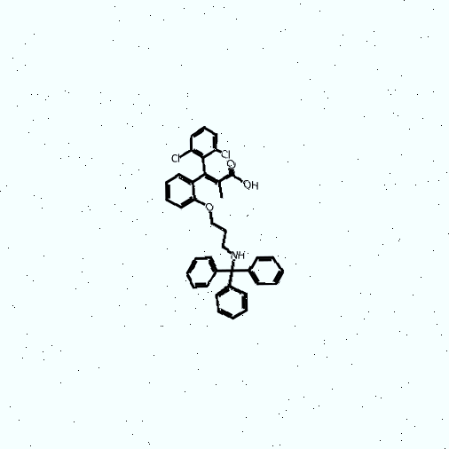 CC(C(=O)O)=C(c1ccccc1OCCCNC(c1ccccc1)(c1ccccc1)c1ccccc1)c1c(Cl)cccc1Cl